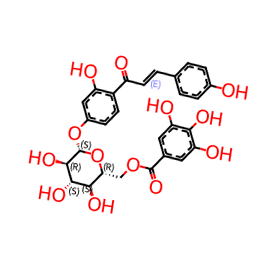 O=C(OC[C@H]1O[C@@H](Oc2ccc(C(=O)/C=C/c3ccc(O)cc3)c(O)c2)[C@H](O)[C@@H](O)[C@@H]1O)c1cc(O)c(O)c(O)c1